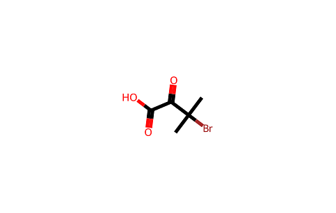 CC(C)(Br)C(=O)C(=O)O